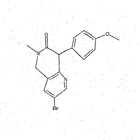 COc1ccc(C2C(=O)N(C)Cc3cc(Br)cnc32)cc1